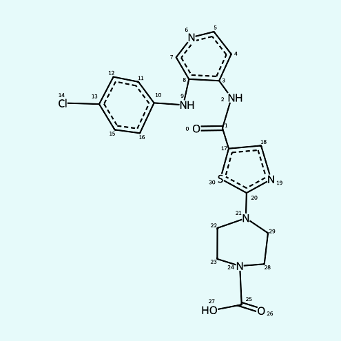 O=C(Nc1ccncc1Nc1ccc(Cl)cc1)c1cnc(N2CCN(C(=O)O)CC2)s1